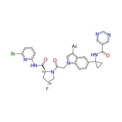 CC(=O)c1cn(CC(=O)N2C[C@H](F)C[C@H]2C(=O)Nc2cccc(Br)n2)c2ccc(C3(NC(=O)c4cncnc4)CC3)cc12